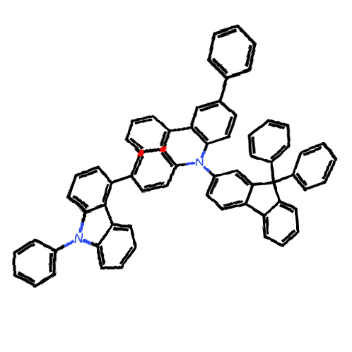 c1ccc(-c2ccc(N(c3ccc(-c4cccc5c4c4ccccc4n5-c4ccccc4)cc3)c3ccc4c(c3)C(c3ccccc3)(c3ccccc3)c3ccccc3-4)c(-c3ccccc3)c2)cc1